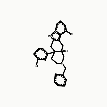 Oc1cccc(C23CCN(Cc4ccccc4)CC2(O)Cc2c([nH]c4cccc(Br)c24)C3)c1